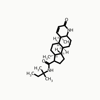 CCC(C)(C)NC(=O)C1CC[C@H]2[C@@H]3CCC4NC(=O)C=C[C@]4(C)[C@@H]3CC[C@]12C